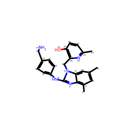 Cc1cc(C)c2nc(Nc3ccc(CN)cc3)n(Cc3nc(C)ccc3O)c2c1